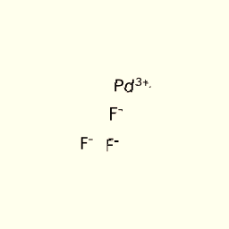 [F-].[F-].[F-].[Pd+3]